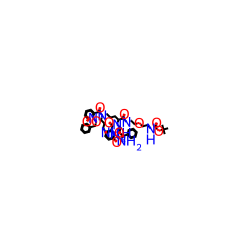 CC(C)(C)OC(=O)NCCOCCNC(=O)C(CCCN(CCCN)C(=O)c1cccc(=O)n1OCc1ccccc1)N(CCCN)C(=O)c1cccc(=O)n1OCc1ccccc1